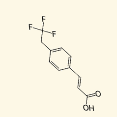 O=C(O)C=Cc1ccc(CC(F)(F)F)cc1